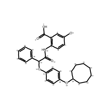 O=C(O)c1cc(Cl)ccc1NC(=O)C(Oc1ccc(OC2CCCCCCC2)cc1)c1ccccc1